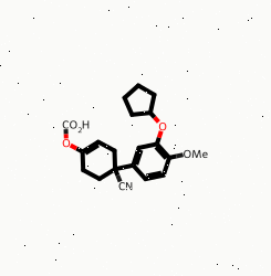 COc1ccc(C2(C#N)CC=C(OC(=O)O)CC2)cc1OC1CCCC1